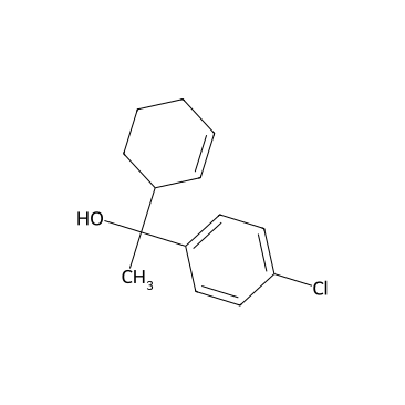 CC(O)(c1ccc(Cl)cc1)C1C=CCCC1